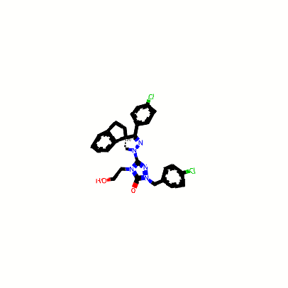 O=c1n(Cc2ccc(Cl)cc2)nc(N2C[C@]3(CCc4ccccc43)C(c3ccc(Cl)cc3)=N2)n1CCO